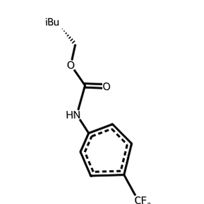 CC[C@@H](C)COC(=O)Nc1ccc(C(F)(F)F)cc1